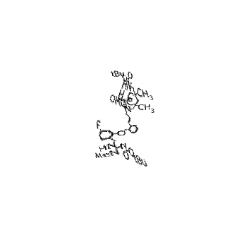 CNC(=NC(=O)OC(C)(C)C)NCc1ccc(F)cc1OCc1ccccc1/C=C/CN(C=O)CC(C)(C)CC(C)(C)CNC(=O)OC(C)(C)C